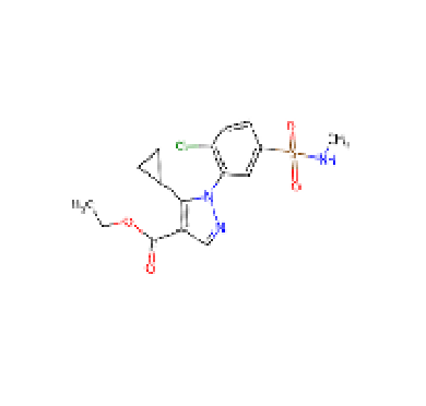 CCOC(=O)c1cnn(-c2cc(S(=O)(=O)NC)ccc2Cl)c1C1CC1